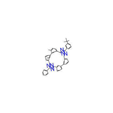 Cc1ccc2cc1c1cccc(c1C)c1nc(-c3ccccc3)nc(n1)c1cccc(c1)c1cccc(c1)c1nc(-c3cccc(C(C)(C)C)c3)nc2n1